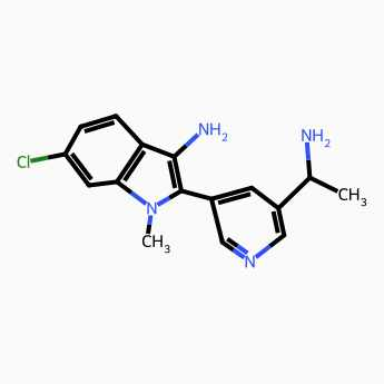 CC(N)c1cncc(-c2c(N)c3ccc(Cl)cc3n2C)c1